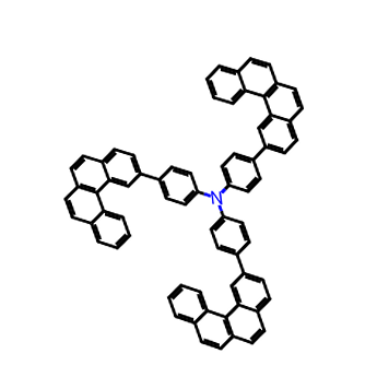 c1ccc2c(c1)ccc1ccc3ccc(-c4ccc(N(c5ccc(-c6ccc7ccc8ccc9ccccc9c8c7c6)cc5)c5ccc(-c6ccc7ccc8ccc9ccccc9c8c7c6)cc5)cc4)cc3c12